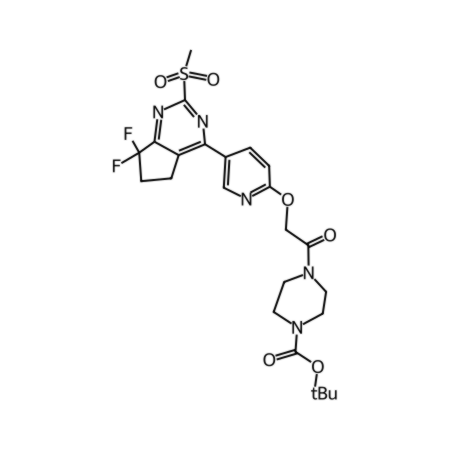 CC(C)(C)OC(=O)N1CCN(C(=O)COc2ccc(-c3nc(S(C)(=O)=O)nc4c3CCC4(F)F)cn2)CC1